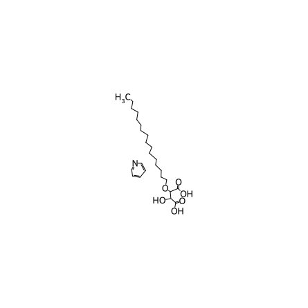 CCCCCCCCCCCCCCCCOC(C(=O)O)C(O)C(=O)O.c1ccncc1